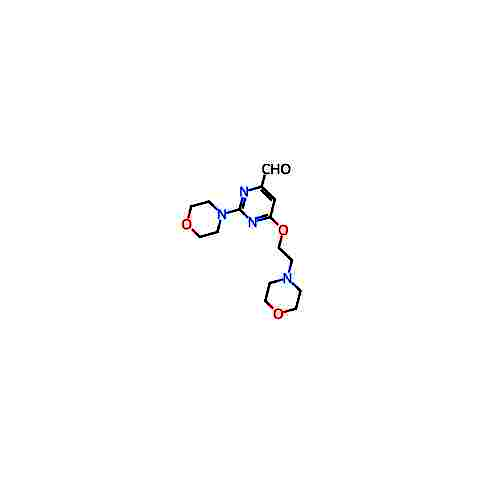 O=Cc1cc(OCCN2CCOCC2)nc(N2CCOCC2)n1